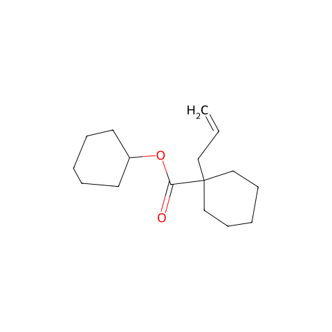 C=CCC1(C(=O)OC2CCCCC2)CCCCC1